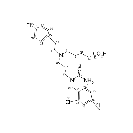 NC(=O)N(CCCN(CCCCC(=O)O)CCc1ccc(Cl)cc1)Cc1ccc(Cl)cc1Cl